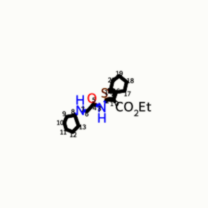 CCOC(=O)c1c(NC(=O)CNC2CCCCC2)sc2c1CCCC2